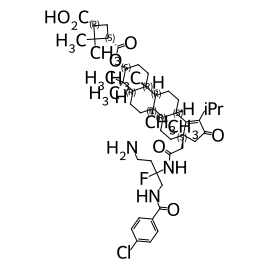 CC(C)C1=C2[C@H]3CC[C@@H]4[C@@]5(C)CC[C@H](OC(=O)[C@H]6C[C@@H](C(=O)O)C6(C)C)C(C)(C)[C@@H]5CC[C@@]4(C)[C@]3(C)CC[C@@]2(CC(=O)NC(F)(CCN)CNC(=O)c2ccc(Cl)cc2)CC1=O